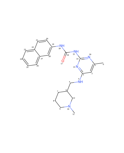 Cc1cc(NCC2CCCN(C)C2)nc(NC(=O)Nc2ccc3ccccc3c2)n1